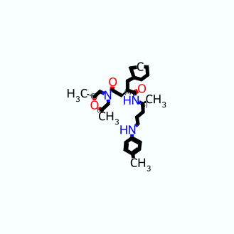 Cc1ccc(NCCC[C@H](C)NC(=O)[C@@H](CC(=O)N2C[C@@H](C)O[C@@H](C)C2)CC2CCCCC2)cc1